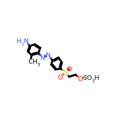 Cc1cc(N)ccc1N=Nc1ccc(S(=O)(=O)CCOS(=O)(=O)O)cc1